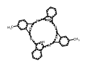 Cc1ccc2c(c1)-c1nc-2nc2[nH]c(nc3nc(nc4[nH]c(n1)c1ccccc41)-c1ccc(C)cc1-3)c1ccccc21